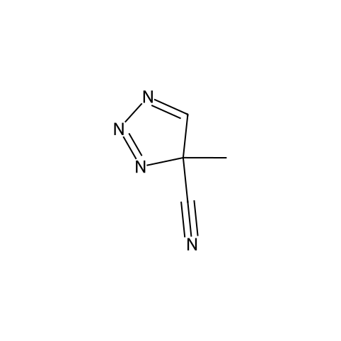 CC1(C#N)C=NN=N1